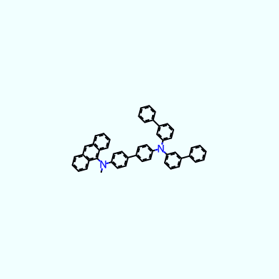 CN(c1ccc(-c2ccc(N(c3cccc(-c4ccccc4)c3)c3cccc(-c4ccccc4)c3)cc2)cc1)c1c2ccccc2cc2ccccc12